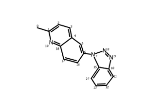 Cc1ccc2cc(-n3nnc4ccccc43)ccc2n1